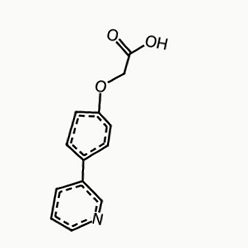 O=C(O)COc1ccc(-c2cccnc2)cc1